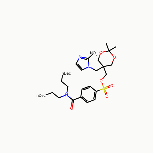 CCCCCCCCCCCCN(CCCCCCCCCCCC)C(=O)c1ccc(S(=O)(=O)OCC2(Cn3ccnc3[N+](=O)[O-])COC(C)(C)OC2)cc1